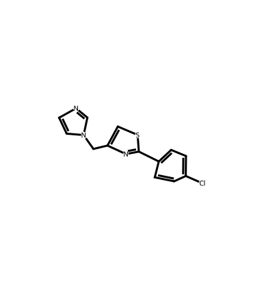 Clc1ccc(-c2nc(Cn3ccnc3)cs2)cc1